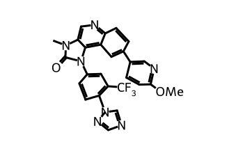 COc1ccc(-c2ccc3ncc4c(c3c2)n(-c2ccc(-n3cncn3)c(C(F)(F)F)c2)c(=O)n4C)cn1